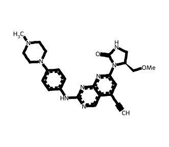 C#Cc1cc(N2C(=O)NC[C@H]2COC)nc2nc(Nc3ccc(N4CCN(C)CC4)cc3)ncc12